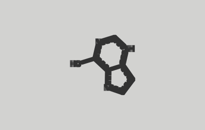 Oc1nc[nH]c2ccnc1-2